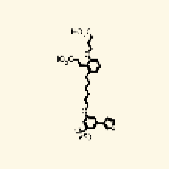 CS(=O)(=O)c1cc(OCCCCCCc2cccc(OCCCC(=O)O)c2CCC(=O)O)cc(-c2ccsc2)c1